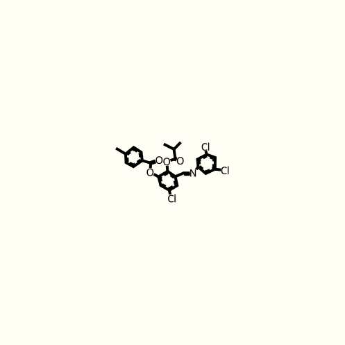 Cc1ccc(C(=O)Oc2cc(Cl)cc(C=Nc3cc(Cl)cc(Cl)c3)c2OC(=O)C(C)C)cc1